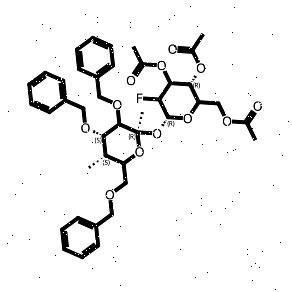 CC(=O)OCC1O[C@H](O[C@@]2(C)OC(COCc3ccccc3)[C@H](C)[C@H](OCc3ccccc3)C2OCc2ccccc2)C(F)C(OC(C)=O)[C@@H]1OC(C)=O